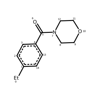 CCc1ccc(C(=O)N2CCOCC2)cc1